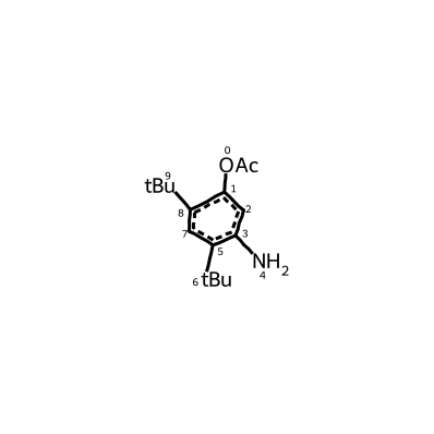 CC(=O)Oc1cc(N)c(C(C)(C)C)cc1C(C)(C)C